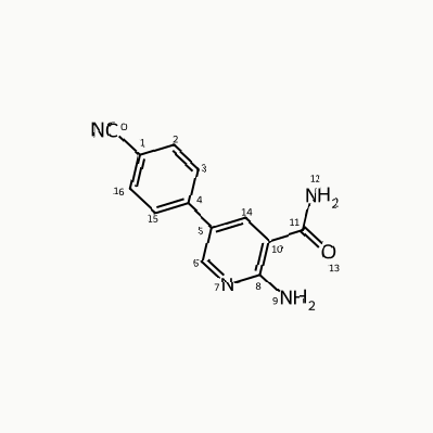 N#Cc1ccc(-c2cnc(N)c(C(N)=O)c2)cc1